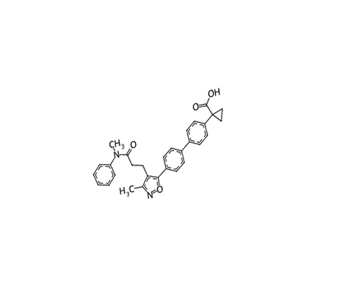 Cc1noc(-c2ccc(-c3ccc(C4(C(=O)O)CC4)cc3)cc2)c1CCC(=O)N(C)c1ccccc1